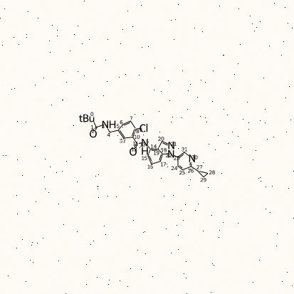 CC(C)(C)C(=O)NCc1ccc(Cl)c(C(=O)Nc2cccc3c2cnn3-c2ccc(C3CC3)nc2)c1